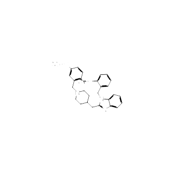 COc1ccc(F)c(CN2CCC(Cc3nc4ccccc4n3Cc3ccccc3OC)CC2)c1